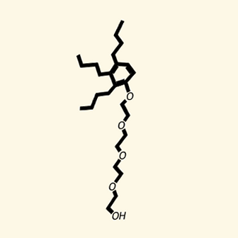 CCCCc1ccc(OCCOCCOCCOCCO)c(CCCC)c1CCCC